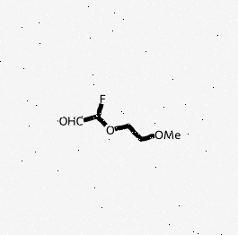 COCCOC(F)[C]=O